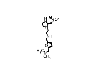 CN(C)Cc1ccc(CNCCN2CCNC2=C[N+](=O)[O-])o1